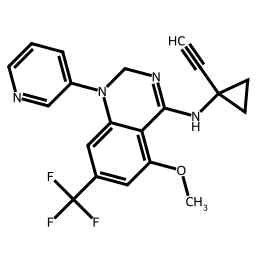 C#CC1(NC2=NCN(c3cccnc3)c3cc(C(F)(F)F)cc(OC)c32)CC1